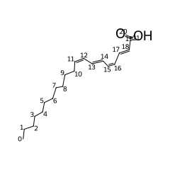 CCCCCCCCCCC\C=C/C=C/C=C\C=C\C(=O)O